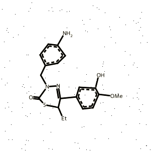 CCC1SC(=O)N(Cc2ccc(N)cc2)N=C1c1ccc(OC)c(O)c1